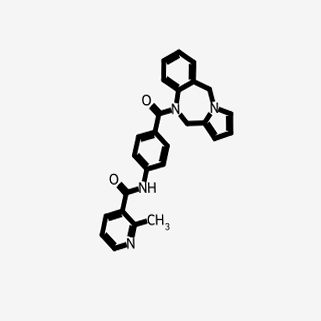 Cc1ncccc1C(=O)Nc1ccc(C(=O)N2Cc3cccn3Cc3ccccc32)cc1